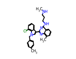 CNCCCNc1nc(-c2cn(Cc3ccc(C)cc3)c3c(Cl)cccc23)nc2c(C)cccc12